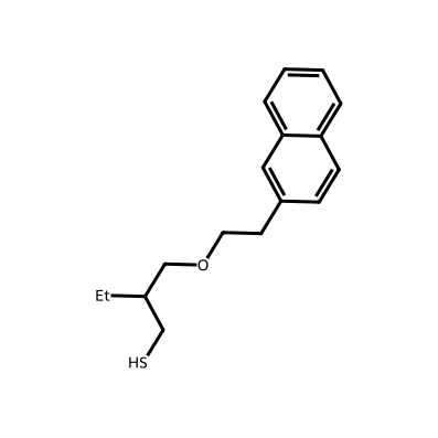 CCC(CS)COCCc1ccc2ccccc2c1